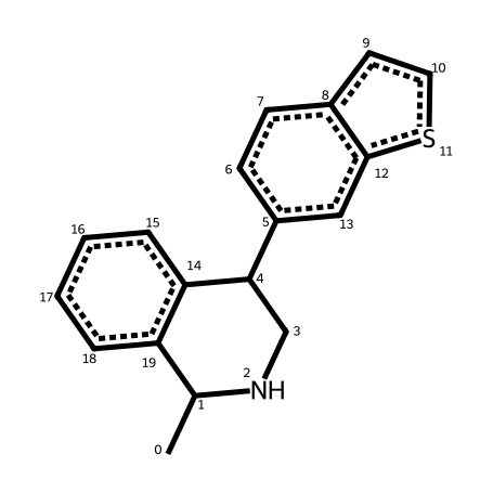 CC1NCC(c2ccc3ccsc3c2)c2ccccc21